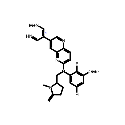 C=C1CCC(CN(c2ccc3ncc(/C(C=N)=C/NC)cc3n2)c2cc(CC)cc(OC)c2F)N1C